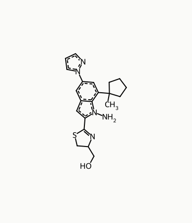 CC1(c2cc(-n3cccn3)cc3cc(C4=NC(CO)CS4)n(N)c23)CCCC1